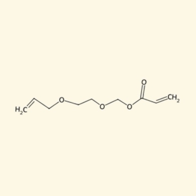 C=CCOCCOCOC(=O)C=C